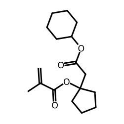 C=C(C)C(=O)OC1(CC(=O)OC2CCCCC2)CCCC1